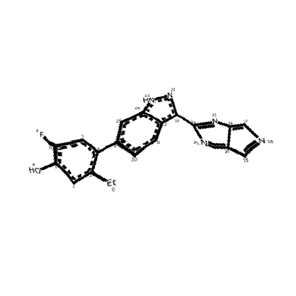 CCc1cc(O)c(F)cc1-c1ccc2c(C3=NC4=CN=CC4=N3)n[nH]c2c1